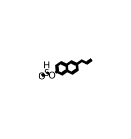 C=CCc1ccc2cc(O[SH]=O)ccc2c1